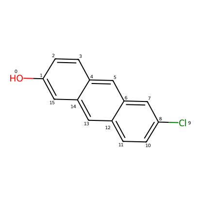 Oc1ccc2cc3cc(Cl)ccc3cc2c1